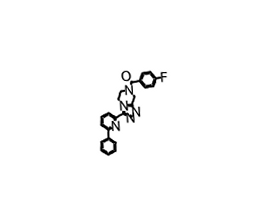 O=C(c1ccc(F)cc1)N1CCn2c(nnc2-c2cccc(-c3ccccc3)n2)C1